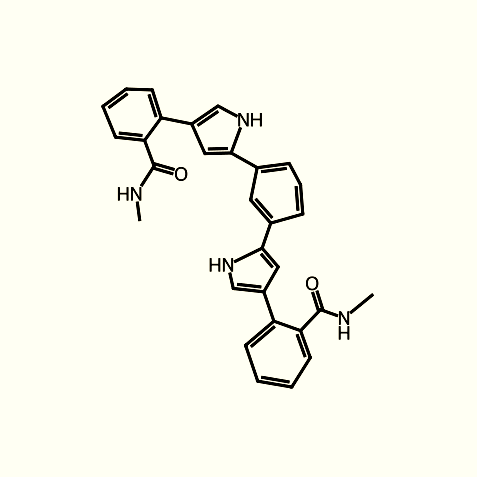 CNC(=O)c1ccccc1-c1c[nH]c(-c2cccc(-c3cc(-c4ccccc4C(=O)NC)c[nH]3)c2)c1